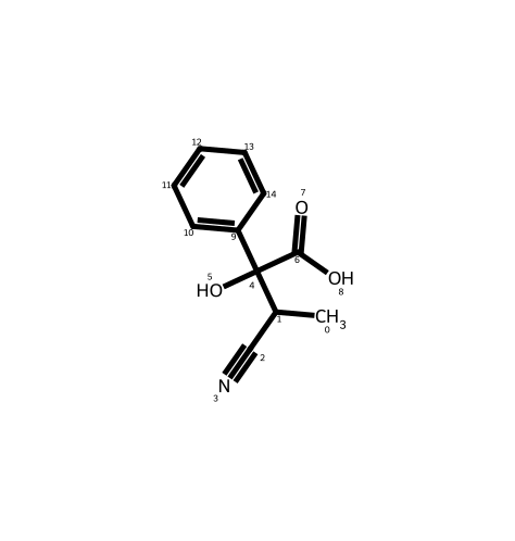 CC(C#N)C(O)(C(=O)O)c1ccccc1